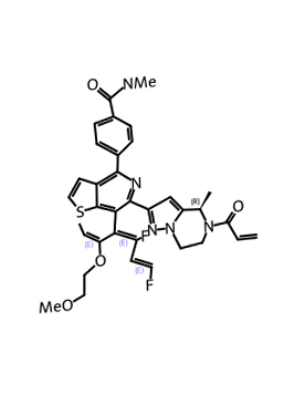 C=CC(=O)N1CCn2nc(-c3nc(-c4ccc(C(=O)NC)cc4)c4ccsc4c3C(/C(=C\C)OCCOC)=C(F)/C=C/F)cc2[C@H]1C